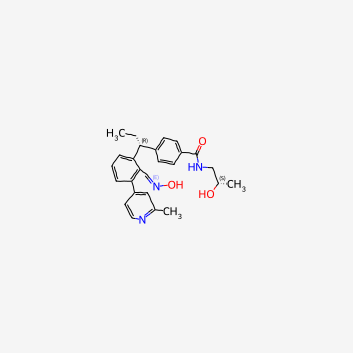 CC[C@H](c1ccc(C(=O)NC[C@H](C)O)cc1)c1cccc(-c2ccnc(C)c2)c1/C=N/O